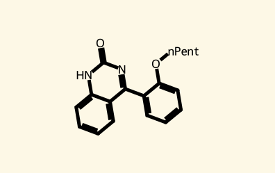 CCCCCOc1ccccc1-c1nc(=O)[nH]c2ccccc12